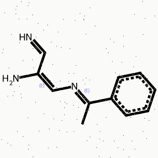 C/C(=N\C=C(\N)C=N)c1ccccc1